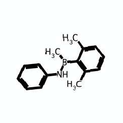 CB(Nc1ccccc1)c1c(C)cccc1C